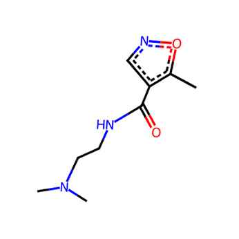 Cc1oncc1C(=O)NCCN(C)C